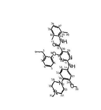 CCc1ccccc1Oc1nc(Nc2ccc(N3CCN(C)CC3)c(OC)c2)ncc1C(=O)Nc1c(C)cccc1C